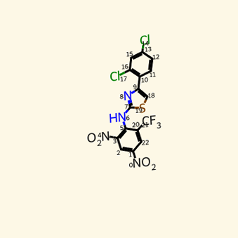 O=[N+]([O-])c1cc([N+](=O)[O-])c(Nc2nc(-c3ccc(Cl)cc3Cl)cs2)c(C(F)(F)F)c1